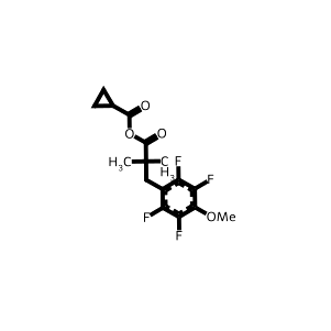 COc1c(F)c(F)c(CC(C)(C)C(=O)OC(=O)C2CC2)c(F)c1F